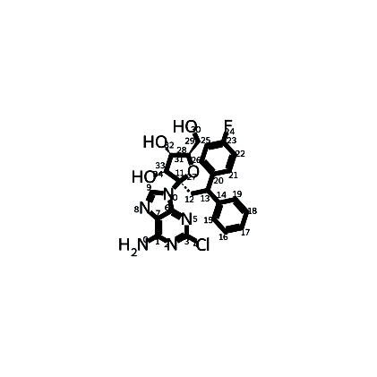 Nc1nc(Cl)nc2c1ncn2[C@]1(CC(c2ccccc2)c2ccc(F)cc2)O[C@H](CO)[C@@H](O)[C@H]1O